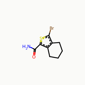 NC(=O)c1sc(Br)c2c1CCCC2